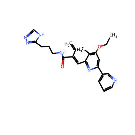 C=C/C(=C\c1nc(-c2cccnc2)cc(OCC)c1C)C(=O)NCCCc1nnc[nH]1